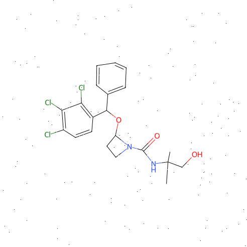 CC(C)(CO)NC(=O)N1CCC1OC(c1ccccc1)c1ccc(Cl)c(Cl)c1Cl